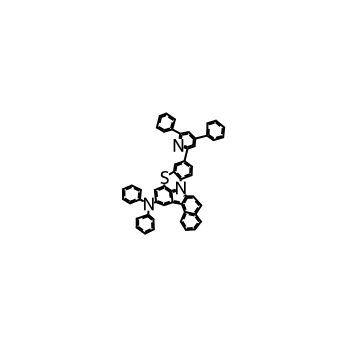 c1ccc(-c2cc(-c3ccccc3)nc(-c3ccc4c(c3)Sc3cc(N(c5ccccc5)c5ccccc5)cc5c6c7ccccc7ccc6n-4c35)c2)cc1